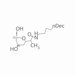 CCCCCCCCCCCCCCNC(=O)C(C)C1C[C@@H](O)C[C@@H](CO)O1